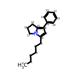 CCCCCCc1cc(-c2ccccc2)c2n1CCC2